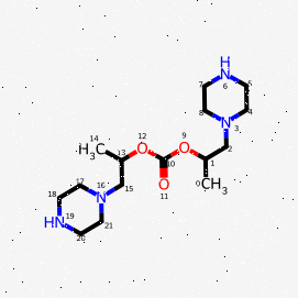 CC(CN1CCNCC1)OC(=O)OC(C)CN1CCNCC1